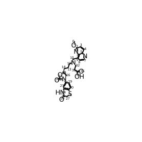 COc1ccc2nccc(CN(CCC[C@H]3CN(c4ccc5c(c4)NC(=O)CS5)C(=O)O3)CCC(=O)O)c2n1